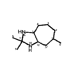 CC1CCCC2NC(C)(C)NC2C1